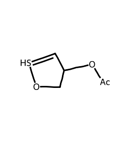 CC(=O)OC1C=[SH]OC1